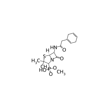 COP(=O)(O)C1N2C(=O)C(NC(=O)CC3=CCC=CC3)[C@@H]2SC1(C)C